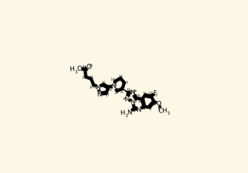 COc1cc2nc(N)n3nc([C@@H]4CCCN(c5cnn(CCCC(C)=O)c5)C4)nc3c2cc1F